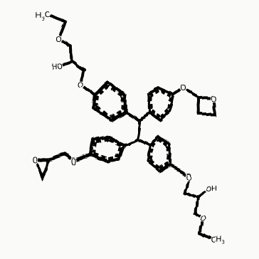 CCOCC(O)COc1ccc(C(c2ccc(OCC3CO3)cc2)C(c2ccc(OCC(O)COCC)cc2)c2ccc(OC3CCO3)cc2)cc1